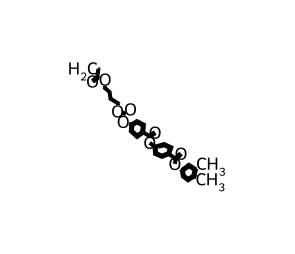 C=CC(=O)OCCCCOC(=O)Oc1ccc(C(=O)Oc2ccc(C(=O)Oc3ccc(C)c(C)c3)cc2)cc1